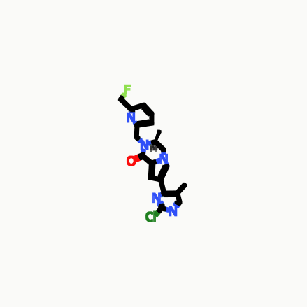 Cc1cnc(Cl)nc1-c1cc2n(c1)C[C@H](C)N(Cc1cccc(CF)n1)C2=O